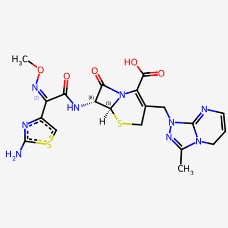 CO/N=C(\C(=O)N[C@@H]1C(=O)N2C(C(=O)O)=C(CN3N=C(C)N4CC=CN=C34)CS[C@@H]12)c1csc(N)n1